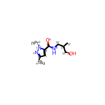 CCCn1nc(C(C)(C)C)cc1C(=O)NCC(C)CO